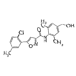 Cc1ccc(Cl)c(-c2cc(C(=O)Nc3c(C)cc(CO)cc3C)no2)c1